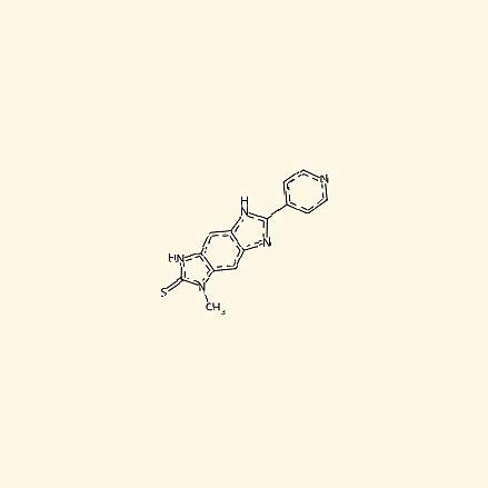 Cn1c(=S)[nH]c2cc3[nH]c(-c4ccncc4)nc3cc21